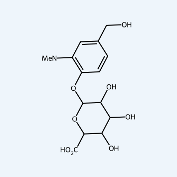 CNc1cc(CO)ccc1OC1OC(C(=O)O)C(O)C(O)C1O